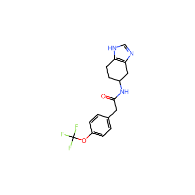 O=C(Cc1ccc(OC(F)(F)F)cc1)NC1CCc2[nH]cnc2C1